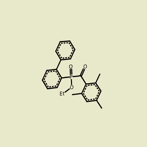 CCOP(=O)(C(=O)c1c(C)cc(C)cc1C)c1ccccc1-c1ccccc1